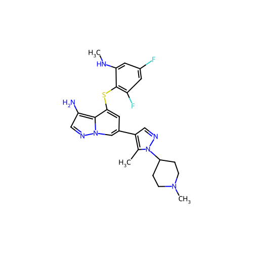 CNc1cc(F)cc(F)c1Sc1cc(-c2cnn(C3CCN(C)CC3)c2C)cn2ncc(N)c12